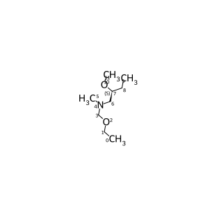 CCOCN(C)C[C@H](CC)OC